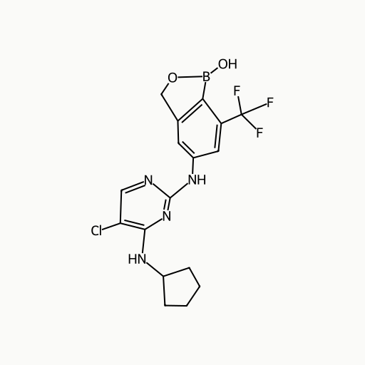 OB1OCc2cc(Nc3ncc(Cl)c(NC4CCCC4)n3)cc(C(F)(F)F)c21